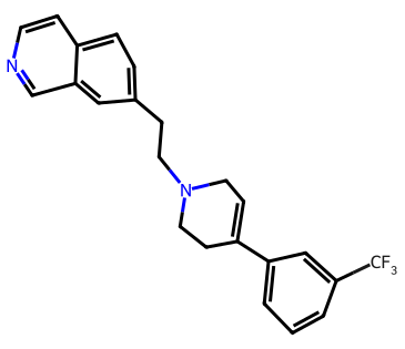 FC(F)(F)c1cccc(C2=CCN(CCc3ccc4ccncc4c3)CC2)c1